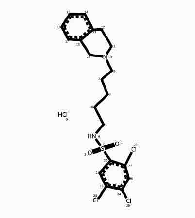 Cl.O=S(=O)(NCCCCCN1CCc2ccccc2C1)c1cc(Cl)c(Cl)cc1Cl